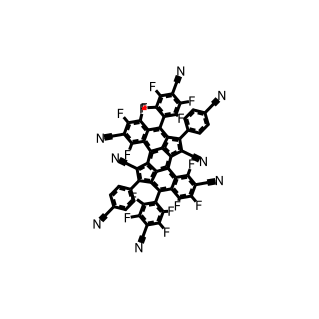 N#Cc1ccc(-c2c(C#N)c3c4c2c(-c2c(F)c(F)c(C#N)c(F)c2F)c2c(F)c(F)c(C#N)c(F)c2c4c2c(C#N)c(-c4ccc(C#N)cc4)c4c(-c5c(F)c(F)c(C#N)c(F)c5F)c5c(F)c(F)c(C#N)c(F)c5c3c42)cc1